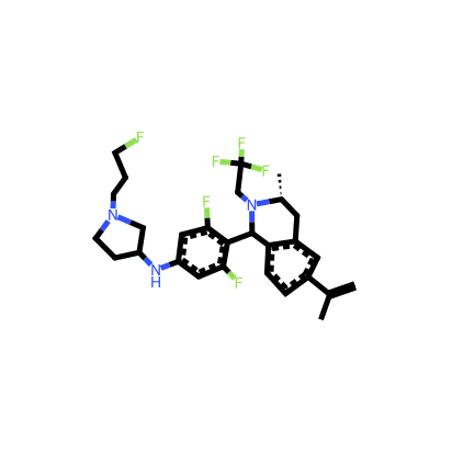 C=C(C)c1ccc2c(c1)C[C@@H](C)N(CC(F)(F)F)C2c1c(F)cc(NC2CCN(CCCF)C2)cc1F